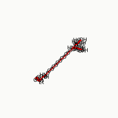 CCc1ccc(N2C(=O)C=CC2=O)cc1C(=O)NCC(=O)NCC(=O)NCCOCCOCCOCCOCCOCCOCCOCCOCCOCCOCCOCCOCCC(=O)N[C@@H](CCC(=O)NC[C@H](O)[C@@H](O)[C@H](O)[C@H](O)CO)C(=O)NC[C@H](O)[C@@H](O)[C@H](O)[C@H](O)CO